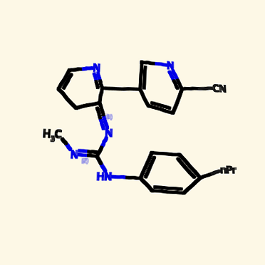 CCCc1ccc(NC(=N/C)/N=C2\CC=CN=C2c2ccc(C#N)nc2)cc1